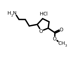 COC(=O)C1CCC(CCCN)O1.Cl